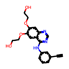 C#Cc1cccc(Nc2ncnc3cc(OCCO)c(OCCO)cc23)c1